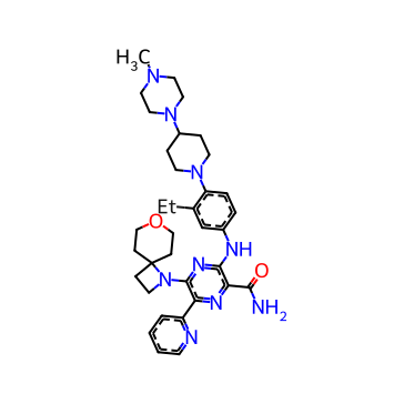 CCc1cc(Nc2nc(N3CCC34CCOCC4)c(-c3ccccn3)nc2C(N)=O)ccc1N1CCC(N2CCN(C)CC2)CC1